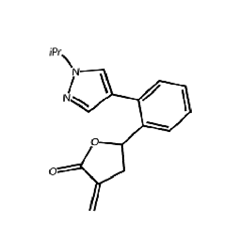 C=C1CC(c2ccccc2-c2cnn(C(C)C)c2)OC1=O